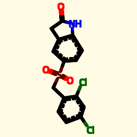 O=C1Cc2cc(S(=O)(=O)Cc3ccc(Cl)cc3Cl)ccc2N1